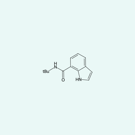 CC(C)(C)NC(=O)c1cccc2cc[nH]c12